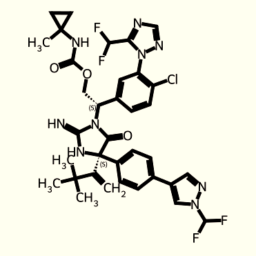 C=C(C(C)(C)C)[C@]1(c2ccc(-c3cnn(C(F)F)c3)cc2)NC(=N)N([C@H](COC(=O)NC2(C)CC2)c2ccc(Cl)c(-n3ncnc3C(F)F)c2)C1=O